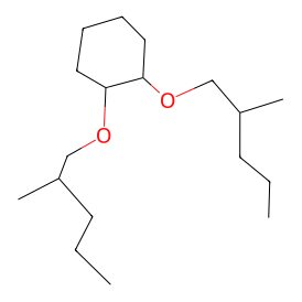 CCCC(C)COC1CCCCC1OCC(C)CCC